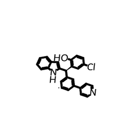 Oc1ccc(Cl)cc1[C@@H](c1c[c]cc(-c2ccncc2)c1)c1cc2ccccc2[nH]1